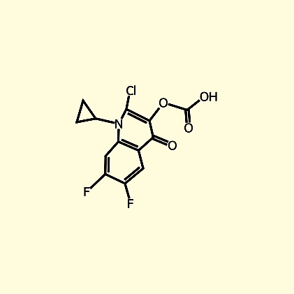 O=C(O)Oc1c(Cl)n(C2CC2)c2cc(F)c(F)cc2c1=O